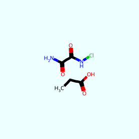 CCC(=O)O.NC(=O)C(=O)NCl